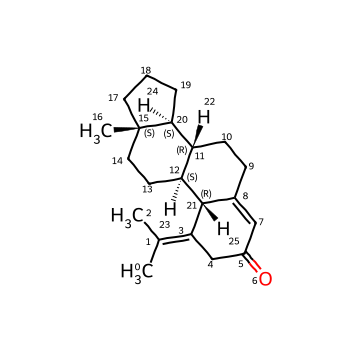 CC(C)=C1CC(=O)C=C2CC[C@@H]3[C@H](CC[C@]4(C)CCC[C@@H]34)[C@H]21